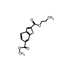 CCCOC(=O)c1cc2ccc(C(=O)OC)cc2s1